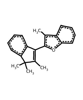 CC1=C(c2oc3ccccc3c2C)c2ccccc2C1(C)C